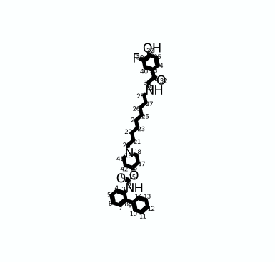 O=C(Nc1ccccc1-c1ccccc1)OC1CCN(CCCCCCCCCNCC(=O)c2ccc(O)c(F)c2)CC1